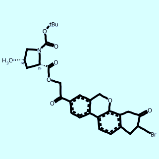 C[C@H]1C[C@@H](C(=O)OCC(=O)c2ccc3c(c2)COc2c-3ccc3c2CC(=O)C(Br)C3)N(C(=O)OC(C)(C)C)C1